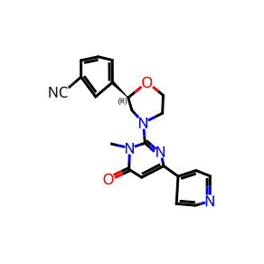 Cn1c(N2CCO[C@H](c3cccc(C#N)c3)C2)nc(-c2ccncc2)cc1=O